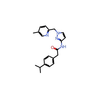 Cc1ccc(Cn2ccc(NC(=O)Cc3ccc(C(C)C)cc3)n2)nc1